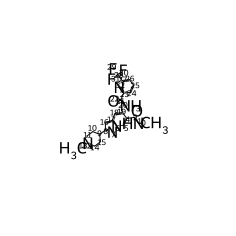 CNC(=O)c1cn2nc(C3CCN(C)CC3)cc2cc1NC(=O)c1cccc(C(F)(F)F)n1